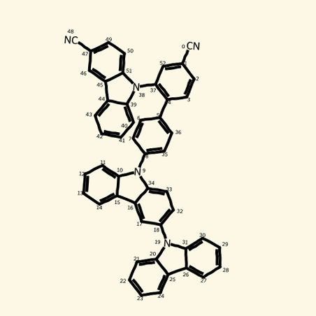 N#Cc1ccc(-c2ccc(-n3c4ccccc4c4cc(-n5c6ccccc6c6ccccc65)ccc43)cc2)c(-n2c3ccccc3c3cc(C#N)ccc32)c1